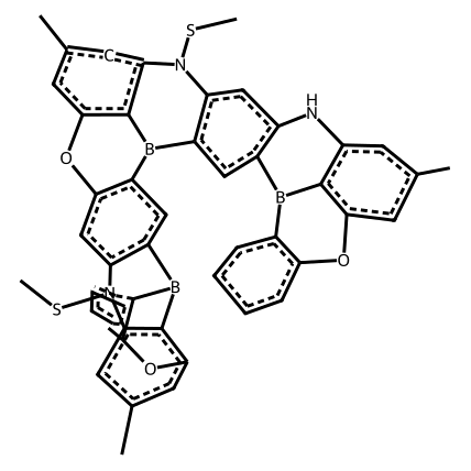 CSN1c2cc3c(cc2B2c4cc5c(cc4Oc4cc(C)cc1c42)N(SC)c1cc(C)cc2c1B5c1ccccc1O2)B1c2ccccc2Oc2cc(C)cc(c21)N3